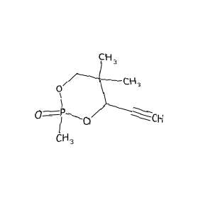 C#CC1OP(C)(=O)OCC1(C)C